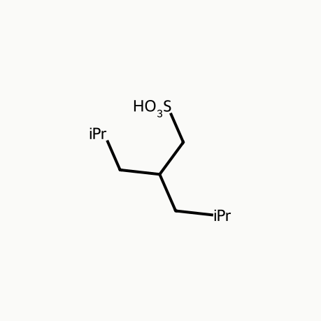 CC(C)CC(CC(C)C)CS(=O)(=O)O